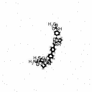 COC(=O)N[C@H]1CC[C@@H](C(=O)N2CCC[C@H]2c2ncc(-c3ccc(-c4ccc(-c5cnc([C@@H]6CCCN6C(=O)[C@@](C)(OC(N)=O)C(C)C)[nH]5)cc4)cc3)[nH]2)CC1